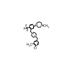 Cc1cc(CN2CCN(Cc3cc(N4CCCN(C)CC4)ccc3C(F)(F)F)CC2)ccc1Cl